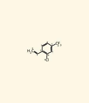 C=Cc1ccc(C(F)(F)F)cc1Cl